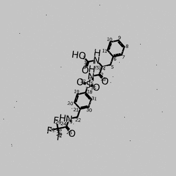 O=C(O)N[C@@H](Cc1ccccc1)C(=O)NS(=O)(=O)c1ccc(CNC(=O)C(F)(F)F)cc1